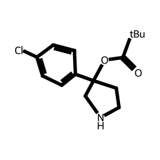 CC(C)(C)C(=O)OC1(c2ccc(Cl)cc2)CCNC1